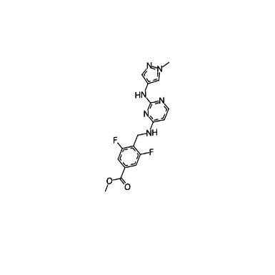 COC(=O)c1cc(F)c(CNc2ccnc(Nc3cnn(C)c3)n2)c(F)c1